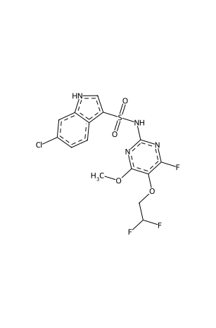 COc1nc(NS(=O)(=O)c2c[nH]c3cc(Cl)ccc23)nc(F)c1OCC(F)F